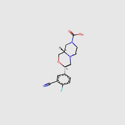 N#Cc1cc([C@H]2CN3CCN(C(=O)O)C[C@H]3CO2)ccc1F